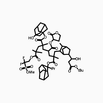 COS(=O)(=O)C(F)(F)COC(=O)C(C)(C)CC(C)(CC(CC(C)(CC1C(C)C2CC(C(O)CC(=O)OC(C)(C)C)C1C2)C(=O)OC1(C(C)C)C2CC3CC(C2)CC1C3)C(=O)OC1CCOC1=O)C(=O)OC12CC3CC(CC(O)(C3)C1)C2